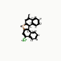 Cc1cc2sc3cc(Br)c4ccccc4c3c2c2ccccc12